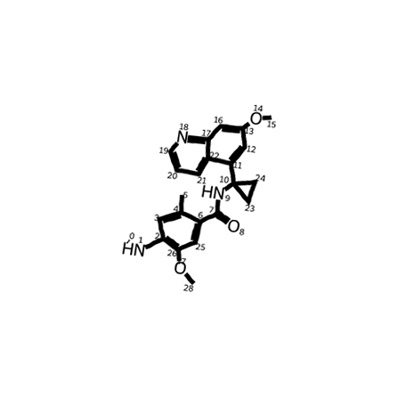 CNc1cc(C)c(C(=O)NC2(c3cc(OC)cc4ncccc34)CC2)cc1OC